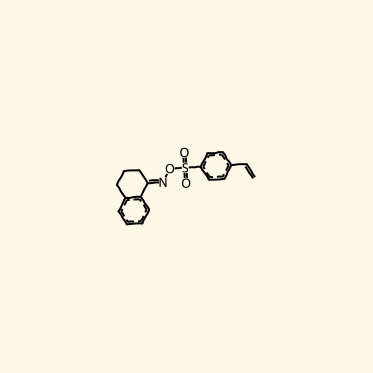 C=Cc1ccc(S(=O)(=O)ON=C2CCCc3ccccc32)cc1